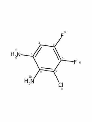 Nc1cc(F)c(F)c(Cl)c1N